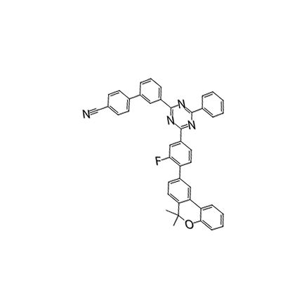 CC1(C)Oc2ccccc2-c2cc(-c3ccc(-c4nc(-c5ccccc5)nc(-c5cccc(-c6ccc(C#N)cc6)c5)n4)cc3F)ccc21